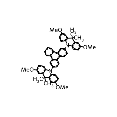 COc1ccc2c(c1)C(C)(C)c1cc(OC)ccc1N2c1ccc2c3ccc(N4c5ccc(OC)cc5C(C)(C)c5cc(OC)ccc54)cc3c3ccccc3c2c1